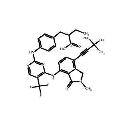 CCC(Cc1ccc(Nc2ncc(C(F)(F)F)c(Nc3ccc(C#CC(C)(C)O)c4c3C(=O)N(C)C4)n2)cc1)[PH](=O)O